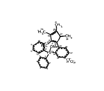 C[O][Ti+2]([c]1ccccc1)([c]1ccccc1)[c]1ccccc1C1=C(C)C(C)=C(C)C1C.[Cl-].[Cl-]